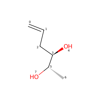 C=CC[C@@H](O)[C@H](C)O